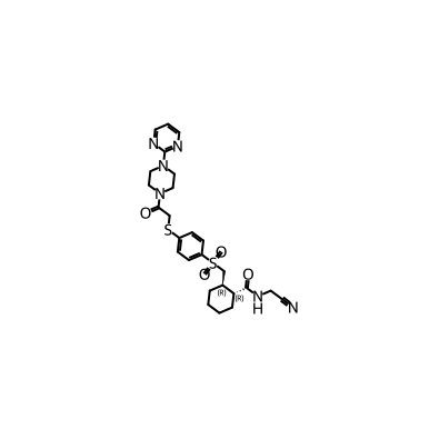 N#CCNC(=O)[C@@H]1CCCC[C@H]1CS(=O)(=O)c1ccc(SCC(=O)N2CCN(c3ncccn3)CC2)cc1